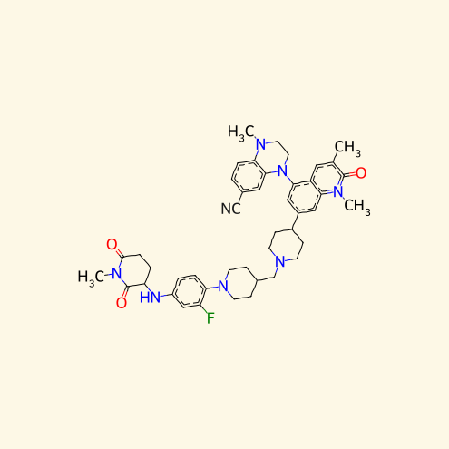 Cc1cc2c(N3CCN(C)c4ccc(C#N)cc43)cc(C3CCN(CC4CCN(c5ccc(NC6CCC(=O)N(C)C6=O)cc5F)CC4)CC3)cc2n(C)c1=O